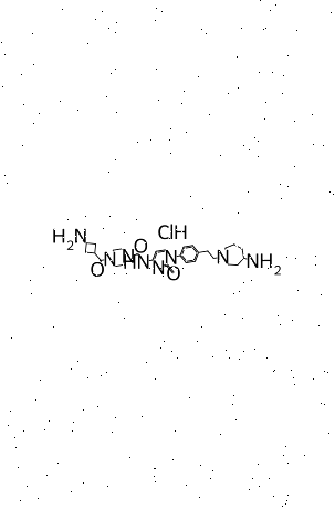 Cl.NC1CCCN(CCc2ccc(-n3ccc(NC(=O)N4CCN(C(=O)C5CC(N)C5)CC4)nc3=O)cc2)CC1